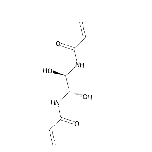 C=CC(=O)N[C@@H](O)[C@@H](O)NC(=O)C=C